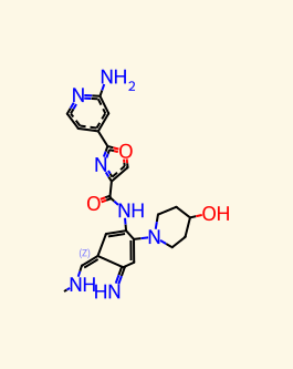 CN/C=C1/C=C(NC(=O)c2coc(-c3ccnc(N)c3)n2)C(N2CCC(O)CC2)=CC1=N